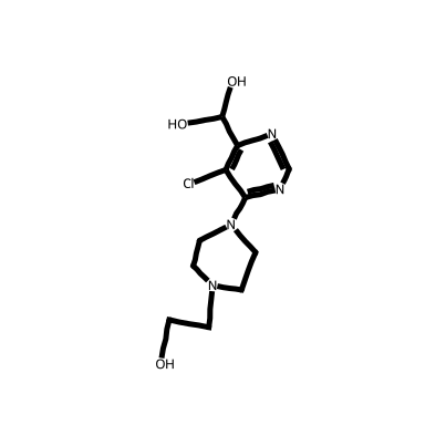 OCCN1CCN(c2ncnc(C(O)O)c2Cl)CC1